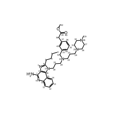 CCCCc1nc2c(N)nc3ccccc3c2n1CCCN(CCCN1CCN(C)CC1)Cc1cccc(CC(=O)OC)c1